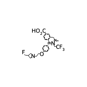 C[C@@H]1Cc2cc(C(=O)O)ccc2[C@@H](c2ccc(OCCN3CC(CF)C3)cc2)N1CC(F)(F)F